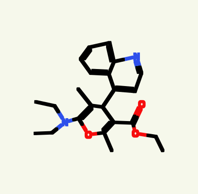 CCOC(=O)C1=C(C)OC(N(CC)CC)=C(C)C1c1ccnc2ccccc12